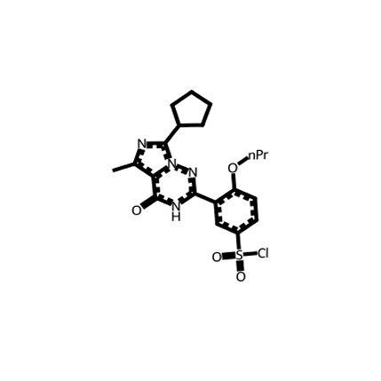 CCCOc1ccc(S(=O)(=O)Cl)cc1-c1nn2c(C3CCCC3)nc(C)c2c(=O)[nH]1